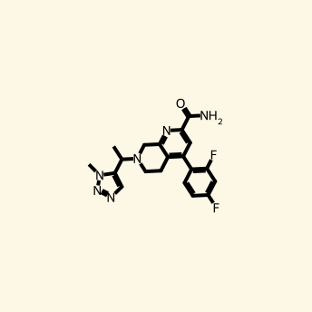 CC(c1cnnn1C)N1CCc2c(-c3ccc(F)cc3F)cc(C(N)=O)nc2C1